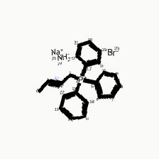 C/C=C/C[P+](c1ccccc1)(c1ccccc1)c1ccccc1.[Br-].[NH2-].[Na+]